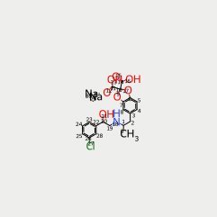 CC(Cc1ccc2c(c1)OC(C(=O)O)(C(=O)O)O2)NCC(O)c1cccc(Cl)c1.[Na].[Na]